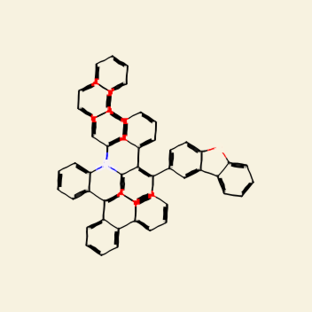 c1ccc(-c2ccc(N(c3ccccc3-c3cc4ccccc4c4ccccc34)c3cccc(-c4ccc5oc6ccccc6c5c4)c3-c3cccc(-c4ccccc4)c3)cc2)cc1